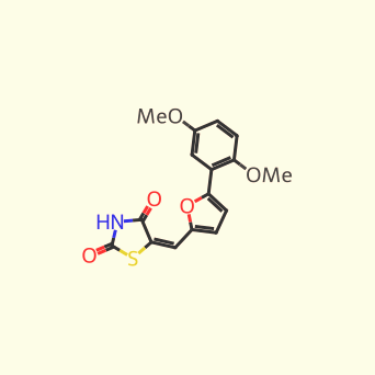 COc1ccc(OC)c(-c2ccc(C=C3SC(=O)NC3=O)o2)c1